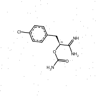 N=C(N)[C@H](Cc1ccc(Cl)cc1)OC(N)=O